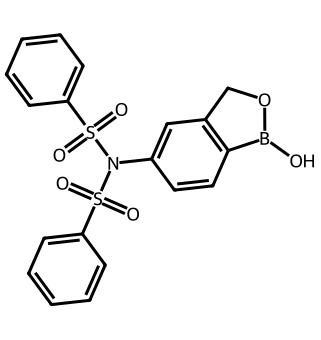 O=S(=O)(c1ccccc1)N(c1ccc2c(c1)COB2O)S(=O)(=O)c1ccccc1